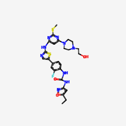 CCc1cc(NC(=O)Nc2ccc(-c3cnc(Nc4cc(N5CCN(CCO)CC5)nc(SC)n4)s3)cc2F)no1